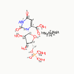 O=C(O)c1cc(=O)[nH]c(=O)n1[C@@H]1O[C@H](COP(=O)(O)O)[C@@H](O)[C@H]1O.[NaH].[NaH].[NaH]